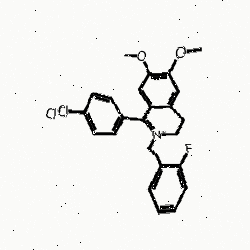 COc1cc2c(cc1OC)C(c1ccc(Cl)cc1)=[N+](Cc1ccccc1F)CC2.[Cl-]